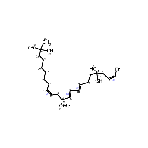 CC/C=C\C[C@](O)(S)CC/C=C/C=C/[C@@H](C/C=C\CCCCCCC(C)(C)CCC)OC